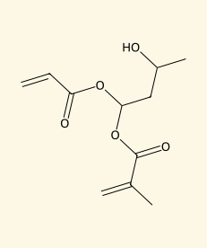 C=CC(=O)OC(CC(C)O)OC(=O)C(=C)C